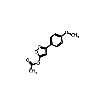 COc1ccc(-c2cc(OC(C)=O)on2)cc1